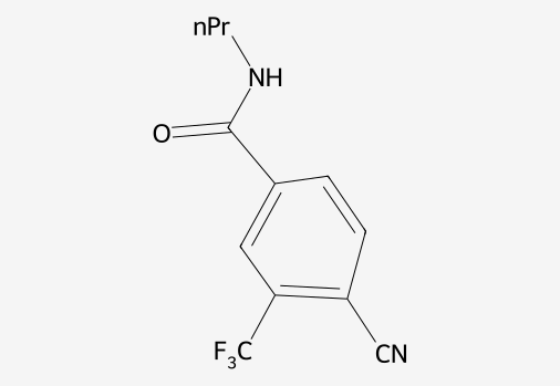 CCCNC(=O)c1ccc(C#N)c(C(F)(F)F)c1